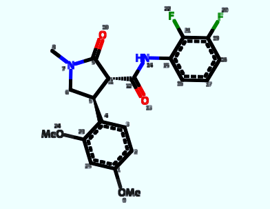 COc1ccc([C@H]2CN(C)C(=O)[C@@H]2C(=O)Nc2cccc(F)c2F)c(OC)c1